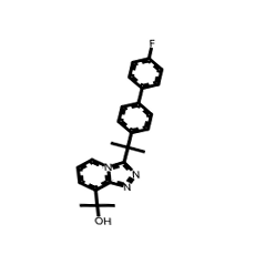 CC(C)(O)c1cccn2c(C(C)(C)c3ccc(-c4ccc(F)cc4)cc3)nnc12